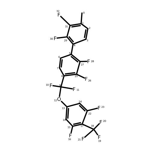 Cc1ccc(-c2ccc(C(F)(F)Oc3cc(F)c(C(F)(F)F)c(F)c3)c(F)c2F)c(F)c1F